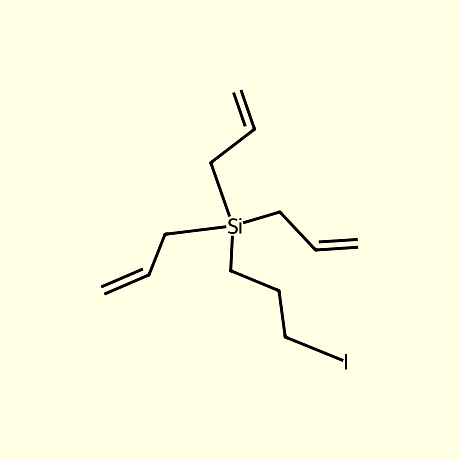 C=CC[Si](CC=C)(CC=C)CCCI